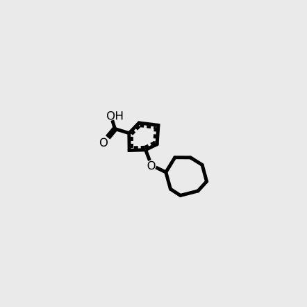 O=C(O)c1cccc(OC2CCCCCCC2)c1